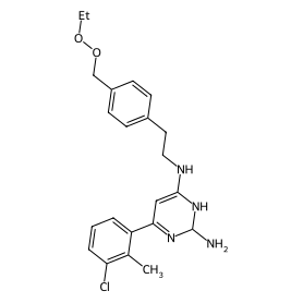 CCOOCc1ccc(CCNC2=CC(c3cccc(Cl)c3C)=NC(N)N2)cc1